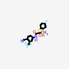 CC(O)(Sc1ccc(F)cc1)C(=O)Nc1ccc(C#N)c(C(F)(F)F)c1